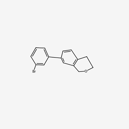 Brc1cccc(-c2ccc3c(c2)COCC3)c1